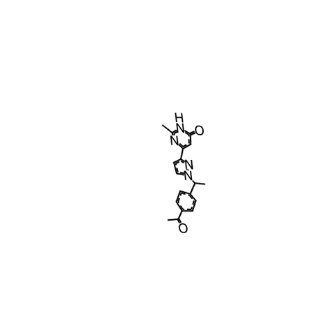 CC(=O)c1ccc(C(C)n2ccc(-c3cc(=O)[nH]c(C)n3)n2)cc1